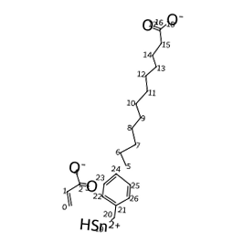 C=CC(=O)[O-].CCCCCCCCCCCC(=O)[O-].[SnH+2][CH2]c1ccccc1